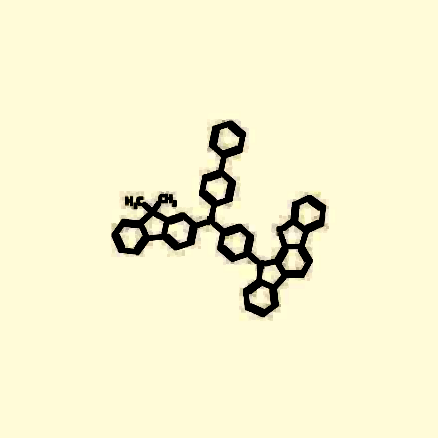 CC1(C)c2ccccc2-c2ccc(N(c3ccc(-c4ccccc4)cc3)c3ccc(-n4c5ccccc5c5ccc6c7ccccc7sc6c54)cc3)cc21